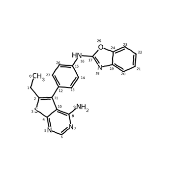 CCc1sc2ncnc(N)c2c1-c1ccc(Nc2nc3ccccc3o2)cc1